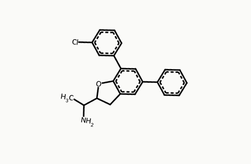 CC(N)C1Cc2cc(-c3ccccc3)cc(-c3cccc(Cl)c3)c2O1